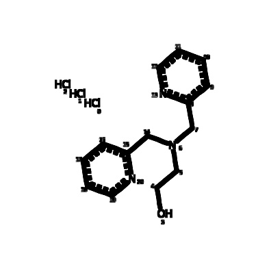 Cl.Cl.Cl.OCCN(Cc1ccccn1)Cc1ccccn1